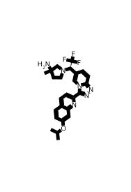 CC(C)Oc1ccc2ccc(-c3nnc4ccc([C@H](N5CCC(C)(N)C5)C(F)(F)F)cn34)nc2c1